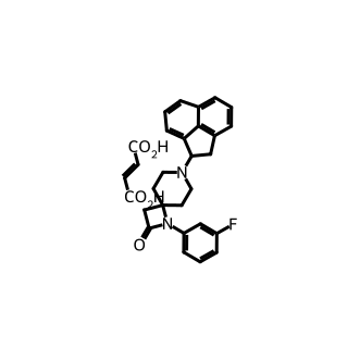 O=C(O)C=CC(=O)O.O=C1CC2(CCN(C3Cc4cccc5cccc3c45)CC2)N1c1cccc(F)c1